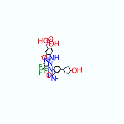 COc1cc(CP(=O)(O)O)ccc1Nc1ncc(C(F)(F)F)c(Nc2ccc(C3CCC(O)CC3)cc2C(=O)N(C)C)n1